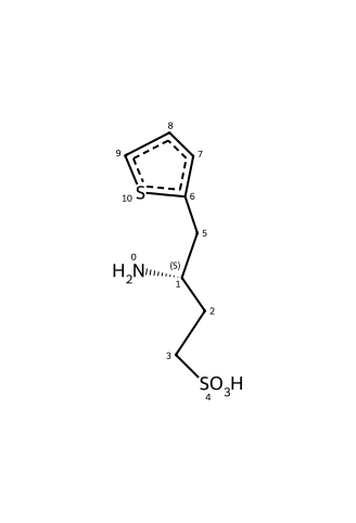 N[C@@H](CCS(=O)(=O)O)Cc1cccs1